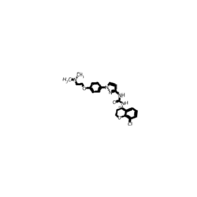 CN(C)CCOc1ccc(-n2ccc(NC(=O)N[C@H]3CCOc4c(Cl)cccc43)n2)cc1